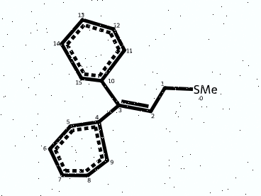 CSCC=C(c1ccccc1)c1ccccc1